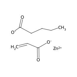 C=CC(=O)[O-].CCCCC(=O)[O-].[Zn+2]